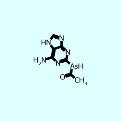 CC(=O)[AsH]c1nc(N)c2[nH]cnc2n1